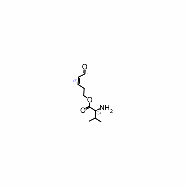 CC(C)[C@H](N)C(=O)OCC/C=C\[C]=O